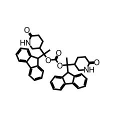 CC(OC(=O)OC(C)(C1CCC(=O)NC1)C1c2ccccc2-c2ccccc21)(C1CCC(=O)NC1)C1c2ccccc2-c2ccccc21